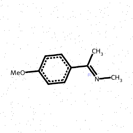 C/N=C(\C)c1ccc(OC)cc1